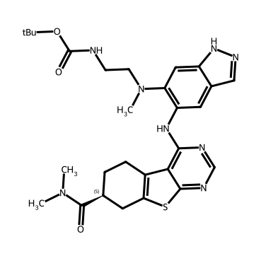 CN(C)C(=O)[C@H]1CCc2c(sc3ncnc(Nc4cc5cn[nH]c5cc4N(C)CCNC(=O)OC(C)(C)C)c23)C1